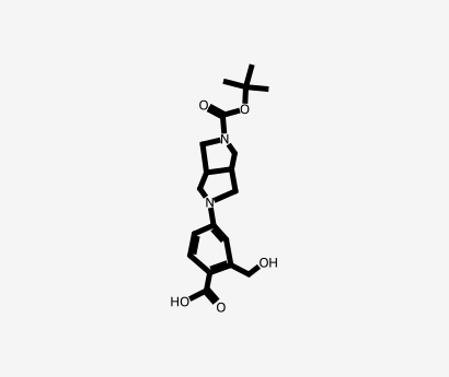 CC(C)(C)OC(=O)N1CC2CN(c3ccc(C(=O)O)c(CO)c3)CC2C1